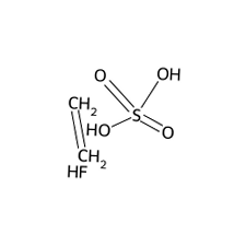 C=C.F.O=S(=O)(O)O